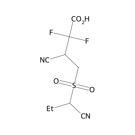 CCC(C#N)S(=O)(=O)CC(C#N)C(F)(F)C(=O)O